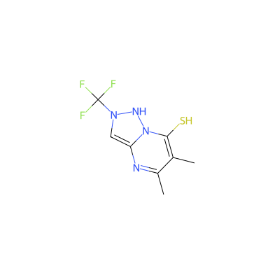 CC1=NC2=CN(C(F)(F)F)NN2C(S)=C1C